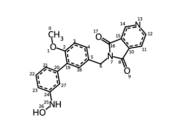 COc1ccc(CN2C(=O)c3ccncc3C2=O)cc1-c1cccc(NO)c1